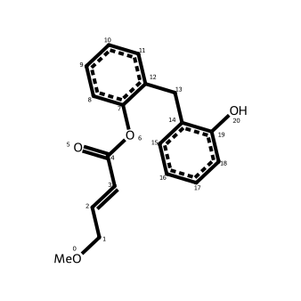 COC/C=C/C(=O)Oc1ccccc1Cc1ccccc1O